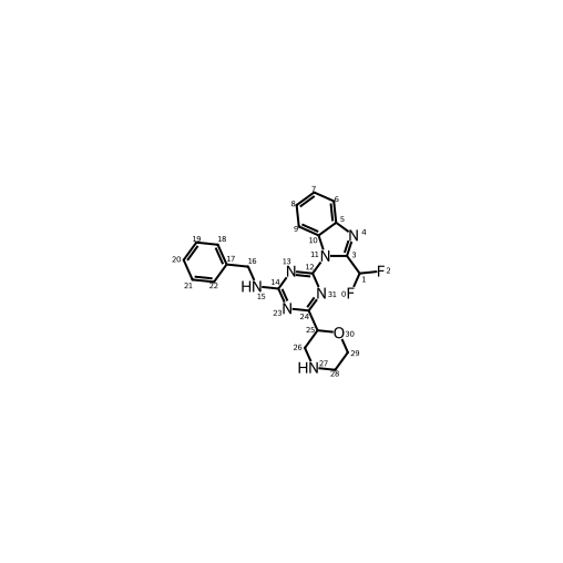 FC(F)c1nc2ccccc2n1-c1nc(NCc2ccccc2)nc(C2CNCCO2)n1